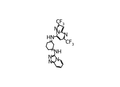 FC(F)(F)c1cc(N[C@H]2CCC[C@@H](Nc3nnc4ccccn34)C2)n2nc(C(F)(F)F)cc2n1